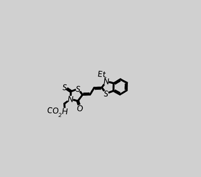 CCN1/C(=C/C=C2\SC(=S)N(CC(=O)O)C2=O)Sc2ccccc21